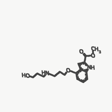 COC(=O)c1cc2c(OCCCNCCCO)cccc2[nH]1